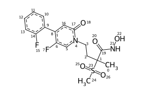 CC(CCn1cc(F)c(-c2ccccc2F)cc1=O)(C(=O)NO)S(C)(=O)=O